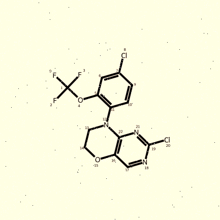 FC(F)(F)Oc1cc(Cl)ccc1N1CCOc2cnc(Cl)nc21